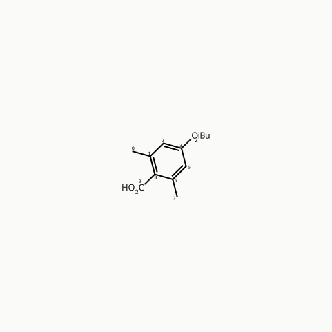 Cc1cc(OCC(C)C)cc(C)c1C(=O)O